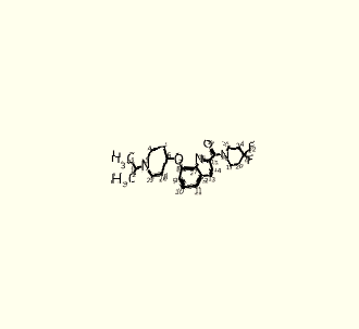 CC(C)N1CCC(Oc2cccc3ccc(C(=O)N4CCC(F)(F)CC4)nc23)CC1